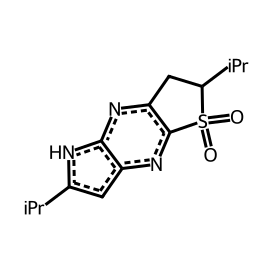 CC(C)c1cc2nc3c(nc2[nH]1)CC(C(C)C)S3(=O)=O